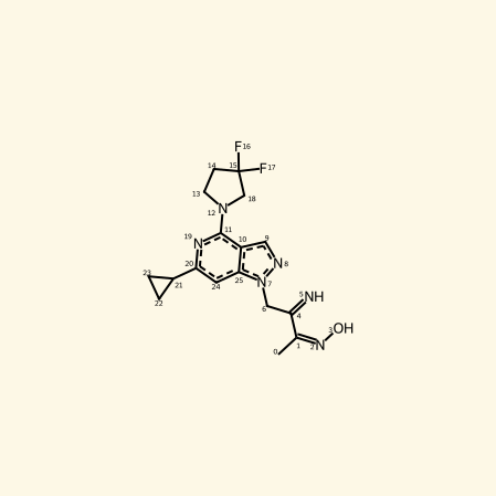 C/C(=N/O)C(=N)Cn1ncc2c(N3CCC(F)(F)C3)nc(C3CC3)cc21